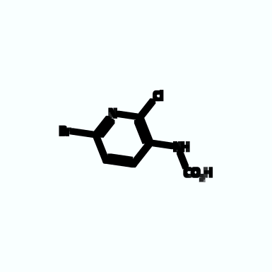 O=C(O)Nc1ccc(Br)nc1Cl